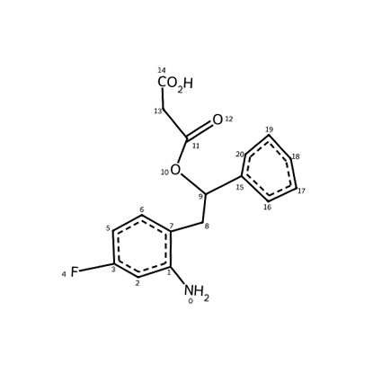 Nc1cc(F)ccc1CC(OC(=O)CC(=O)O)c1ccccc1